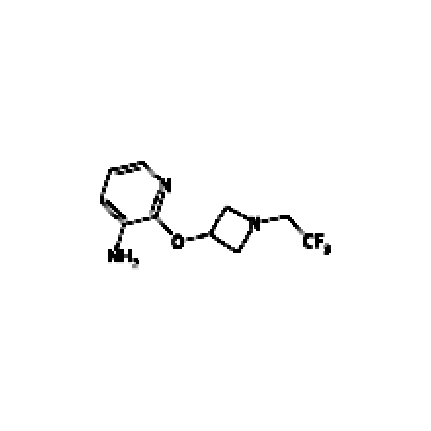 Nc1cccnc1OC1CN(CC(F)(F)F)C1